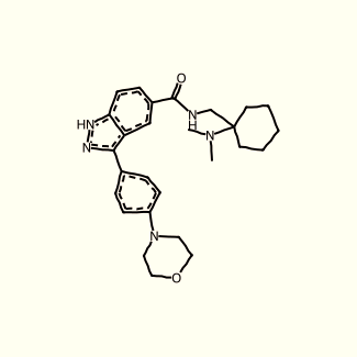 CN(C)C1(CNC(=O)c2ccc3[nH]nc(-c4ccc(N5CCOCC5)cc4)c3c2)CCCCC1